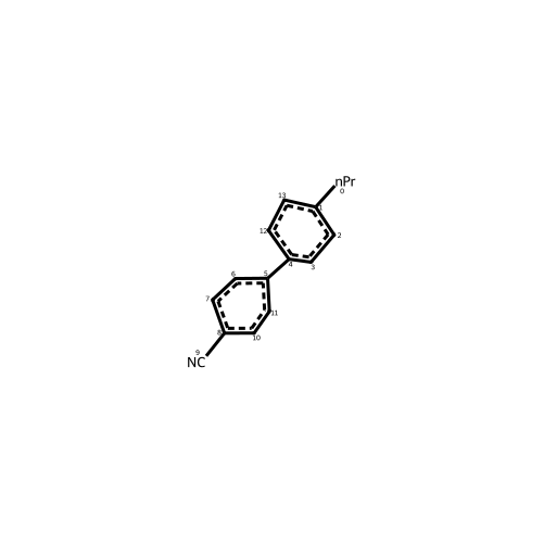 CCCc1ccc(-c2ccc(C#N)cc2)cc1